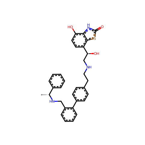 C[C@@H](NCc1ccccc1-c1ccc(CCNC[C@H](O)c2ccc(O)c3[nH]c(=O)sc23)cc1)c1ccccc1